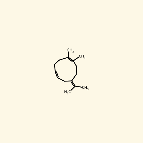 CC(C)=C1C/C=C\CC/C(C)=C(/C)CC1